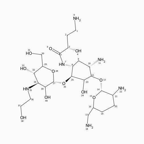 NCC[C@H](O)C(=O)N[C@@H]1C[C@H](N)C(O[C@H]2OC(CN)CCC2N)C(O)[C@H]1O[C@H]1OC(CO)[C@@H](O)[C@H](NCCO)C1O